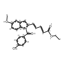 CCOC(=O)C=CC=Cc1cc2cc(OC)ccc2n1C(=O)c1ccc(Cl)cc1